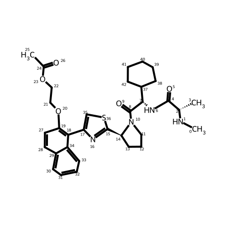 CN[C@@H](C)C(=O)N[C@H](C(=O)N1CCC[C@H]1c1nc(-c2c(OCCOC(C)=O)ccc3ccccc23)cs1)C1CCCCC1